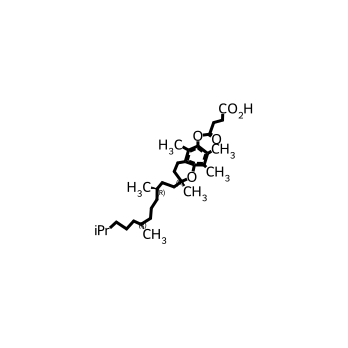 Cc1c(C)c2c(c(C)c1OC(=O)CCC(=O)O)CC[C@@](C)(CC[C@H](C)CCC[C@H](C)CCCC(C)C)O2